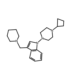 [c]1cccc2c(CN3CCCCC3)cn(N3CCN(C4CCC4)CC3)c12